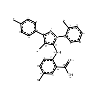 Cc1ccc(-c2nn(-c3ccccc3C)c(Nc3ccc(C)cc3C(=O)O)c2I)cc1